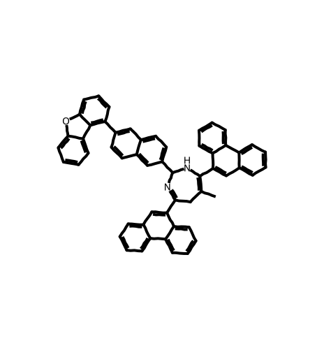 CC1=C(c2cc3ccccc3c3ccccc23)NC(c2ccc3cc(-c4cccc5oc6ccccc6c45)ccc3c2)N=C(c2cc3ccccc3c3ccccc23)C1